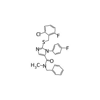 CN(Cc1ccccc1)C(=O)c1cnc(SCc2c(F)cccc2Cl)n1-c1ccc(F)cc1